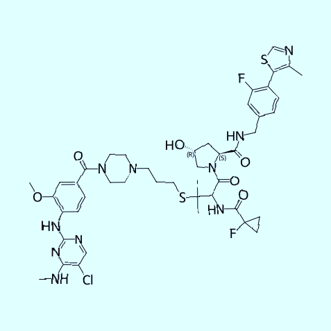 CNc1nc(Nc2ccc(C(=O)N3CCN(CCCSC(C)(C)C(NC(=O)C4(F)CC4)C(=O)N4C[C@H](O)C[C@H]4C(=O)NCc4ccc(-c5scnc5C)c(F)c4)CC3)cc2OC)ncc1Cl